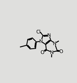 Cc1ccc(-n2c(Cl)nc3c2c(=O)n(C)c(=O)n3C)cc1